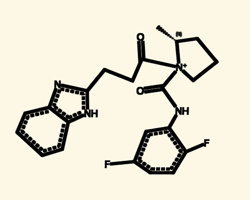 C[C@@H]1CCC[N+]1(C(=O)CCc1nc2ccccc2[nH]1)C(=O)Nc1cc(F)ccc1F